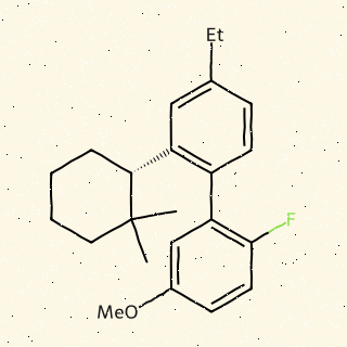 CCc1ccc(-c2cc(OC)ccc2F)c([C@H]2CCCCC2(C)C)c1